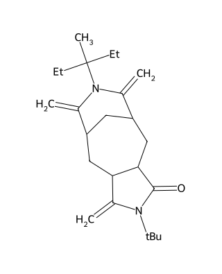 C=C1C2CC3CC(CC2C(=O)N1C(C)(C)C)C(=C)N(C(C)(CC)CC)C3=C